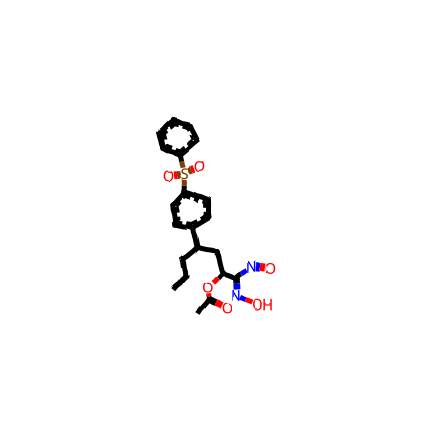 CCCC(CC(OC(C)=O)C(N=O)=NO)c1ccc(S(=O)(=O)c2ccccc2)cc1